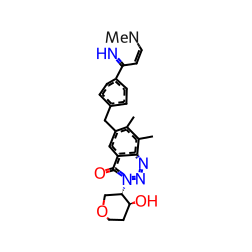 CN/C=C\C(=N)c1ccc(Cc2cc3c(=O)n([C@H]4COCC[C@@H]4O)nnc3c(C)c2C)cc1